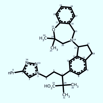 CCCc1cn(CCC(c2ccc3c(c2)C(N2Cc4ccccc4OC(C)(C)C2)CC3)C(C)(C)C(=O)O)nn1